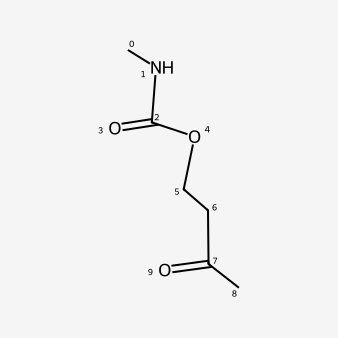 CNC(=O)OCCC(C)=O